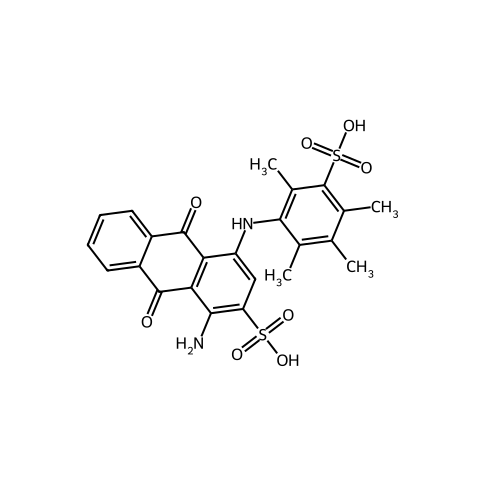 Cc1c(C)c(Nc2cc(S(=O)(=O)O)c(N)c3c2C(=O)c2ccccc2C3=O)c(C)c(S(=O)(=O)O)c1C